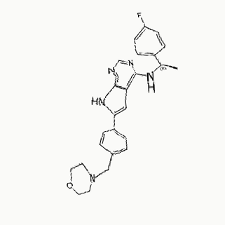 C[C@@H](Nc1ncnc2[nH]c(-c3ccc(CN4CCOCC4)cc3)cc12)c1ccc(F)cc1